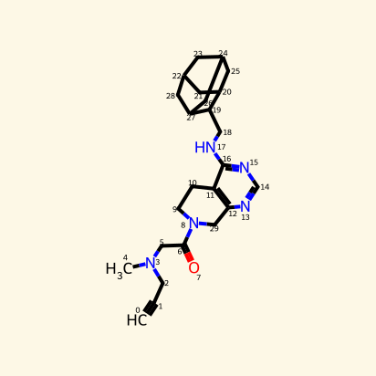 C#CCN(C)CC(=O)N1CCc2c(ncnc2NCC2C3CC4CC(C3)CC2C4)C1